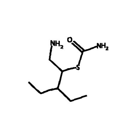 CCC(CC)C(CN)SC(N)=O